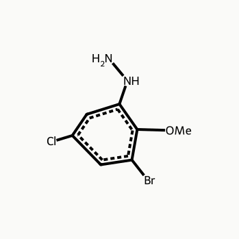 COc1c(Br)cc(Cl)cc1NN